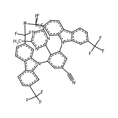 Cc1nc(C)nc(-c2c(-n3c4cc(C(F)(F)F)ccc4c4ccc(C(F)(F)F)cc43)cc(C#N)cc2-n2c3cc(C(F)(F)F)ccc3c3ccc(C(F)(F)F)cc32)n1